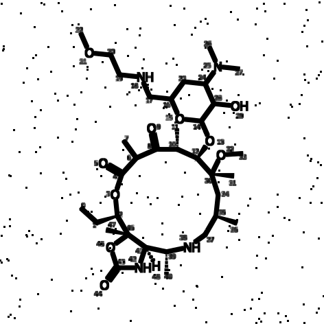 CC[C@H]1OC(=O)C(C)C(=O)[C@H](C)[C@@H](OC2OC(CNCCOC)CC(N(C)C)C2O)[C@](C)(OC)C[C@@H](C)CN[C@H](C)[C@H]2NC(=O)O[C@@]21C